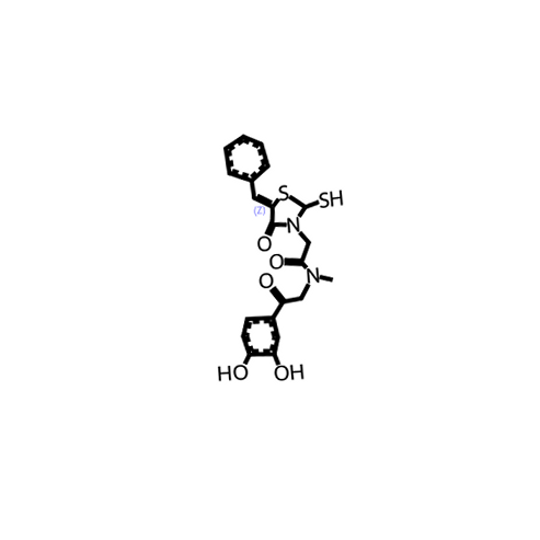 CN(CC(=O)c1ccc(O)c(O)c1)C(=O)CN1C(=O)/C(=C/c2ccccc2)SC1S